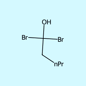 CCCCC(O)(Br)Br